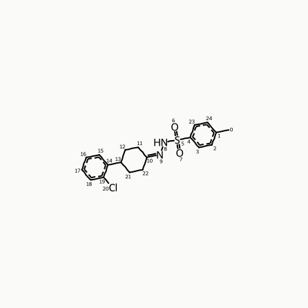 Cc1ccc(S(=O)(=O)NN=C2CCC(c3ccccc3Cl)CC2)cc1